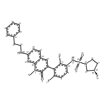 Cn1c(=O)c(-c2c(F)ccc(NS(=O)(=O)N3CC[C@@H](F)C3)c2F)cc2cnc(NCCc3ccccc3)nc21